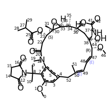 COc1cc2cc(c1C(C)(C)N1C(=O)CCC1=O)N(C)C(=O)C[C@H](OC(=O)C(C)C)[C@]1(C)O[C@H]1[C@H](C)[C@@H]1C[C@@](O)(NC(=O)O1)[C@H](OC)/C=C/C=C(\C)C2